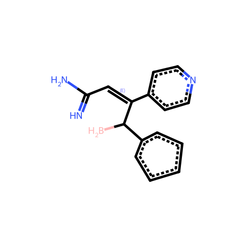 BC(/C(=C\C(=N)N)c1ccncc1)c1ccccc1